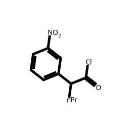 CCCC(C(=O)Cl)c1cccc([N+](=O)[O-])c1